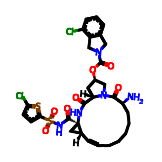 N[C@H]1CCCCC/C=C\[C@@H]2C[C@@]2(C(=O)NS(=O)(=O)c2ccc(Cl)s2)NC(=O)[C@@H]2C[C@@H](OC(=O)N3Cc4cccc(Cl)c4C3)CN2C1=O